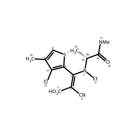 CCN(C(=C(C#N)C(=O)O)c1scc(C)c1Cl)[C@H](C)C(=O)NC